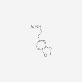 CC(=O)N[C@@H](C)Cc1ccc2c(c1)OCO2